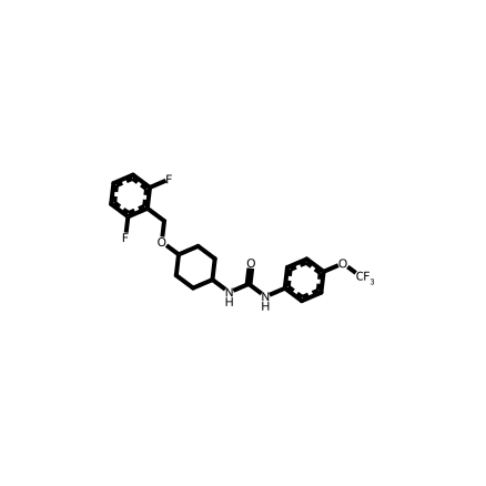 O=C(Nc1ccc(OC(F)(F)F)cc1)NC1CCC(OCc2c(F)cccc2F)CC1